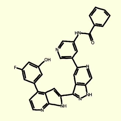 O=C(Nc1cncc(-c2cc3c(-c4cc5c(-c6cc(O)cc(F)c6)ccnc5[nH]4)n[nH]c3cn2)c1)c1ccccc1